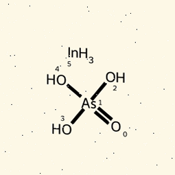 O=[As](O)(O)O.[InH3]